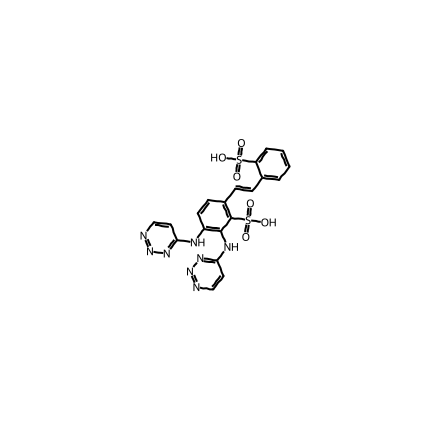 O=S(=O)(O)c1ccccc1C=Cc1ccc(Nc2ccnnn2)c(Nc2ccnnn2)c1S(=O)(=O)O